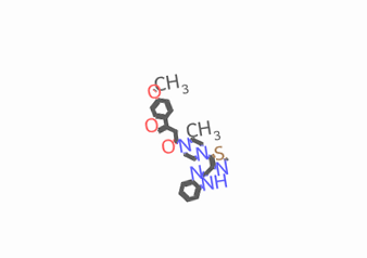 COc1ccc2c(CC(=O)N3CCN(c4scnc4-c4nc5ccccc5[nH]4)CC3C)coc2c1